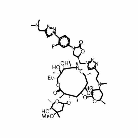 CC[C@H]1OC(=O)[C@H](C)[C@@H](O[C@H]2C[C@@](C)(OC)[C@@H](O)[C@H](C)O2)[C@H](C)[C@@H](O[C@@H]2O[C@H](C)C[C@H](N(C)CCc3cn(C[C@H]4CN(c5ccc(-n6cc(CN(C)C)nn6)c(F)c5)C(=O)O4)nn3)[C@H]2O)[C@](C)(O)C[C@@H](C)CN(C)[C@H](C)[C@@H](O)[C@]1(C)O